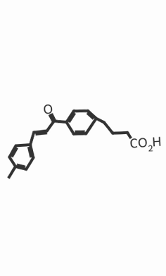 Cc1ccc(C=CC(=O)c2ccc(CCCC(=O)O)cc2)cc1